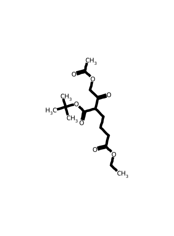 CCOC(=O)CCCC(C(=O)COC(C)=O)C(=O)OC(C)(C)C